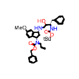 C=CCN(C(=O)OCc1ccccc1)[C@H]1C[C@@H](NC[C@@H](O)[C@H](Cc2ccccc2)NC(=O)OC(C)(C)C)c2cc(OC)ccc21